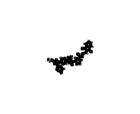 Cc1ccc(-c2cc(C(F)(F)F)nn2-c2ccc(S(=O)(=O)NC(=O)C3CCCN(/[N+]([O-])=N/OCN4C(=O)c5ccccc5C4=O)C3)cc2)cc1